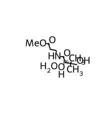 COC(=O)CCNC(=O)[C@H](O)C(C)(C)CO.O